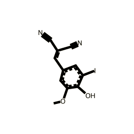 COc1cc(C=C(C#N)C#N)cc(I)c1O